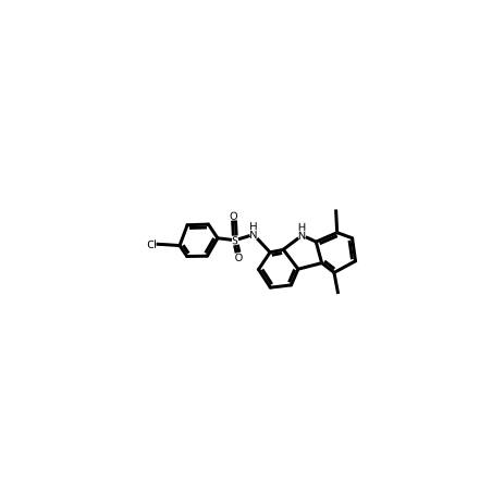 Cc1ccc(C)c2c1[nH]c1c(NS(=O)(=O)c3ccc(Cl)cc3)cccc12